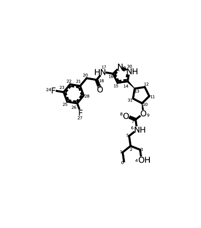 CCC(CO)CNC(=O)O[C@@H]1CC[C@H](c2cc(NC(=O)Cc3cc(F)cc(F)c3)n[nH]2)C1